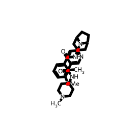 COc1cccc(C(=O)NC2CC3CCC(C2)N3c2ccc(C(=O)NC3CCN(C)CC3)cn2)c1C